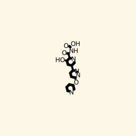 O=C(O)NC(=O)c1ncc(-c2ccc(Oc3cccnc3)nn2)cc1O